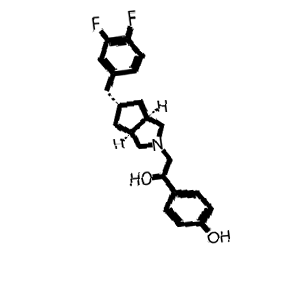 Oc1ccc(C(O)CN2C[C@H]3C[C@H](Cc4ccc(F)c(F)c4)C[C@H]3C2)cc1